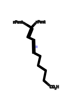 CCCCCC(=C/C=C/CCCCC(=O)O)CCCCC